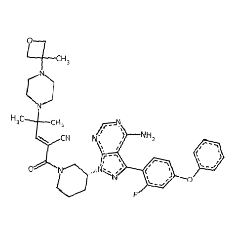 CC(C)(/C=C(\C#N)C(=O)N1CCC[C@@H](n2nc(-c3ccc(Oc4ccccc4)cc3F)c3c(N)ncnc32)C1)N1CCN(C2(C)COC2)CC1